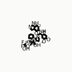 CCS(=O)(=O)c1ccccc1[C@H]1[C@@H](C(=O)O)CCN1C(=O)[C@@H](Nc1ccc2c(N)nccc2c1)c1cc(OC)c(OC)cc1F.O=C(O)C(F)(F)F